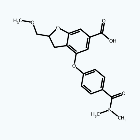 COCC1Cc2c(Oc3ccc(C(=O)N(C)C)cc3)cc(C(=O)O)cc2O1